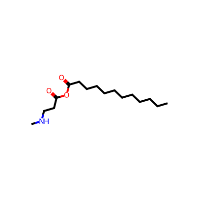 CCCCCCCCCCCC(=O)OC(=O)CCNC